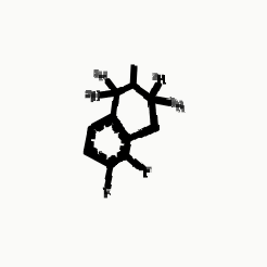 [2H]C1([2H])Cc2c(ccc(F)c2F)C([2H])([2H])C1C